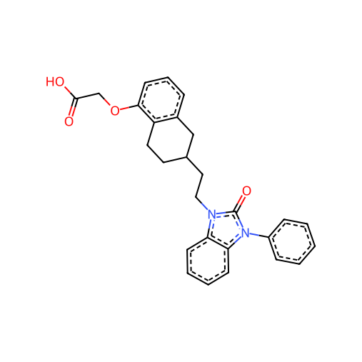 O=C(O)COc1cccc2c1CCC(CCn1c(=O)n(-c3ccccc3)c3ccccc31)C2